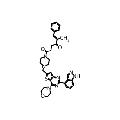 CC(=Cc1ccccc1)C(=O)CCC(=O)N1CCN(Cc2cc3nc(-c4cccc5[nH]ncc45)nc(N4CCOCC4)c3s2)CC1